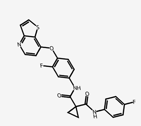 O=C(Nc1ccc(F)cc1)C1(C(=O)Nc2ccc(Oc3ccnc4ccsc34)c(F)c2)CC1